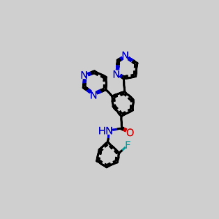 O=C(Nc1ccccc1F)c1ccc(-c2ccncn2)c(-c2ccncn2)c1